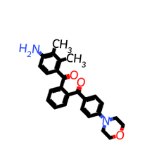 Cc1c(N)ccc(C(=O)c2ccccc2C(=O)c2ccc(N3CCOCC3)cc2)c1C